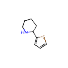 c1csc(C2CCCCN2)c1